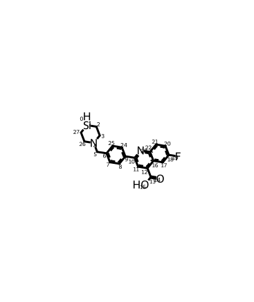 C[SiH]1CCN(Cc2ccc(-c3cc(C(=O)O)c4cc(F)ccc4n3)cc2)CC1